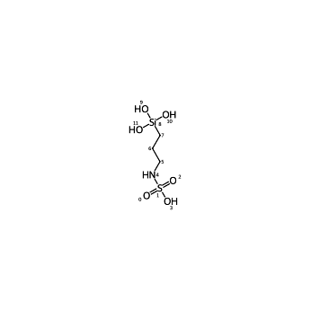 O=S(=O)(O)NCCC[Si](O)(O)O